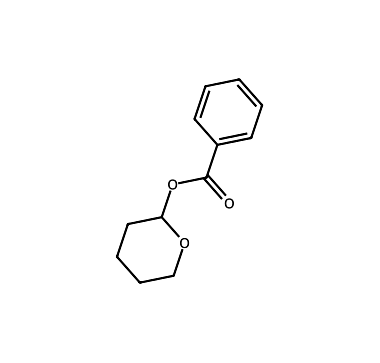 O=C(OC1CCCCO1)c1ccccc1